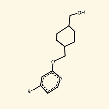 OCC1CCC(COc2cc(Br)ccn2)CC1